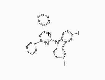 Ic1ccc2c(c1)c1cc(I)ccc1n2-c1nc(-c2ccccc2)cc(-c2ccccc2)n1